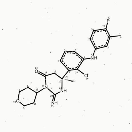 Cc1cc(Nc2cccc([C@]3(C)CC(=O)N(C4CCOCC4)C(=N)N3)c2Cl)ccc1F